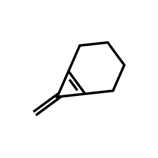 C=C1C2=C1CCCC2